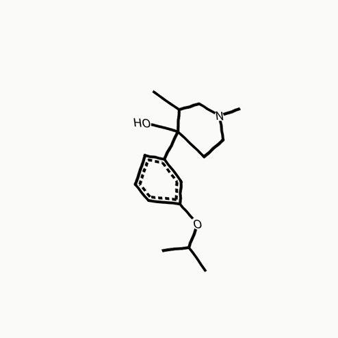 CC(C)Oc1cccc(C2(O)CCN(C)CC2C)c1